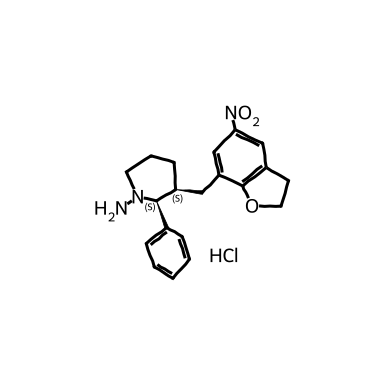 Cl.NN1CCC[C@@H](Cc2cc([N+](=O)[O-])cc3c2OCC3)[C@H]1c1ccccc1